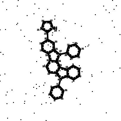 c1ccc(-n2c3ccccc3c3c2ccc2c4ccc(-c5ncc[nH]5)cc4n(-c4ccccc4)c23)cc1